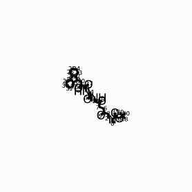 CN(CCC(=O)CCC(=O)CNC(=O)CNC(=O)C(=O)CC1c2ccccc2-c2ccccc21)C(=O)OC(C)(C)C